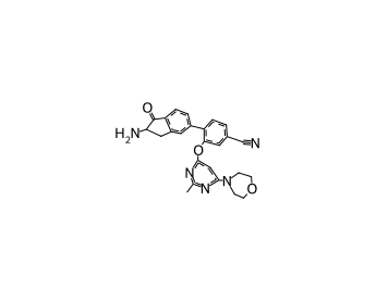 Cc1nc(Oc2cc(C#N)ccc2-c2ccc3c(c2)CC(N)C3=O)cc(N2CCOCC2)n1